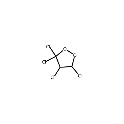 ClC1OOC(Cl)(Cl)C1Cl